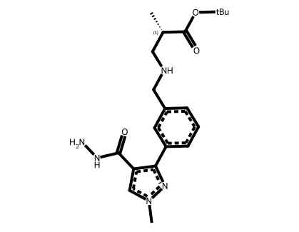 C[C@@H](CNCc1cccc(-c2nn(C)cc2C(=O)NN)c1)C(=O)OC(C)(C)C